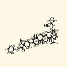 C=C(C)[C@@H]1CC[C@]2(NCCC3(O)COC3)CC[C@]3(C)[C@H](CC[C@@H]4[C@@]5(C)CC=C(C6=CC[C@@](CF)(C(=O)OCc7ccccc7)CC6)C(C)(C)[C@@H]5CC[C@]43C)[C@@H]12